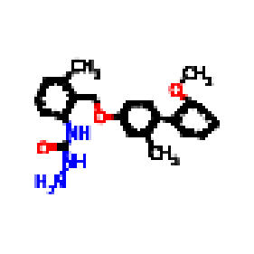 COc1ccccc1-c1ccc(OCc2c(C)cccc2NC(=O)NN)cc1C